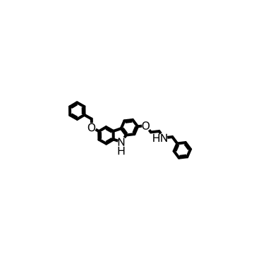 c1ccc(CNCCOc2ccc3c(c2)[nH]c2ccc(OCc4ccccc4)cc23)cc1